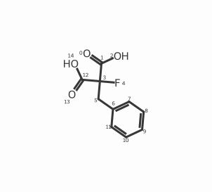 O=C(O)C(F)(Cc1ccccc1)C(=O)O